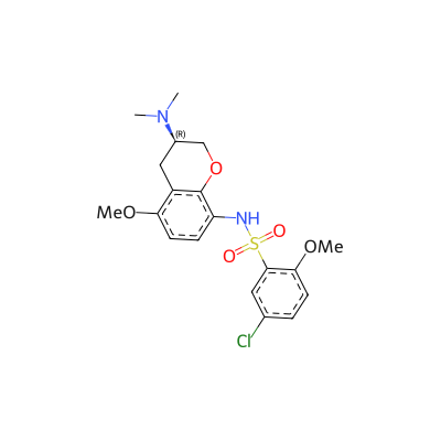 COc1ccc(Cl)cc1S(=O)(=O)Nc1ccc(OC)c2c1OC[C@H](N(C)C)C2